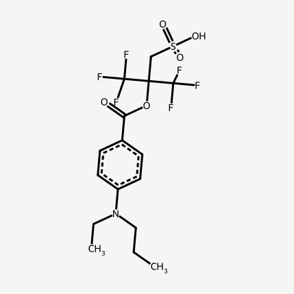 CCCN(CC)c1ccc(C(=O)OC(CS(=O)(=O)O)(C(F)(F)F)C(F)(F)F)cc1